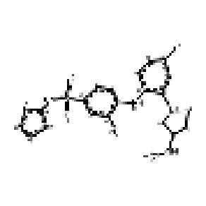 CNC1CCN(c2cc(F)ccc2Nc2ccc(S(=O)(=O)Nc3cscn3)cc2Cl)C1